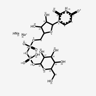 O=c1ccn(C2OC(COP(=O)([O-])OP(=O)(O)OC3OC(CO)C(O)C(O)C3O)C(O)C2O)c(=O)[nH]1.[Na+].[NaH]